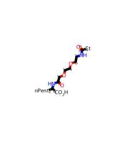 CCCCCC(NC(=O)COCCOCCNC(=O)CC)C(=O)O